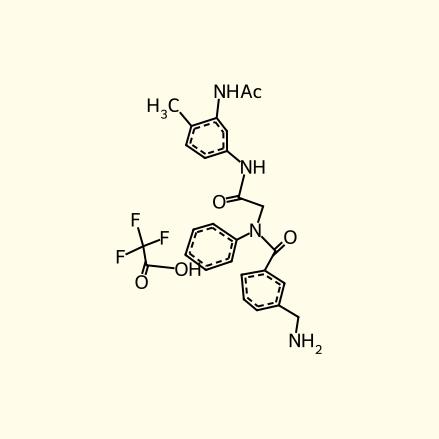 CC(=O)Nc1cc(NC(=O)CN(C(=O)c2cccc(CN)c2)c2ccccc2)ccc1C.O=C(O)C(F)(F)F